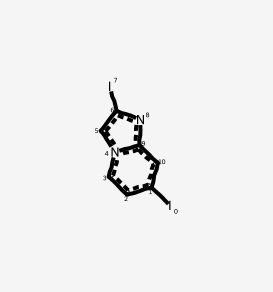 Ic1ccn2cc(I)nc2c1